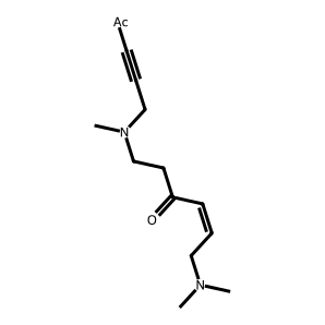 CC(=O)C#CCN(C)CCC(=O)/C=C\CN(C)C